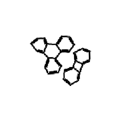 c1ccc2c(c1)-c1ccccc1-2.c1ccc2c(c1)c1ccccc1c1ccccc21